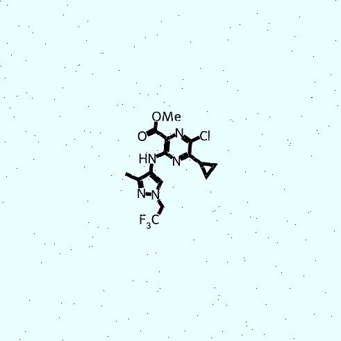 COC(=O)c1nc(Cl)c(C2CC2)nc1Nc1cn(CC(F)(F)F)nc1C